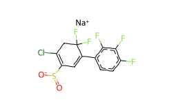 O=S([O-])C1=C(Cl)CC(F)(F)C(c2ccc(F)c(F)c2F)=C1.[Na+]